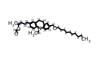 CCCCCCCCCCOCc1ccc2c(c1)CCc1cc(/C=C/C=C(/C)OC=O)ccc1N2CC